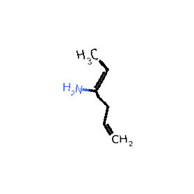 C=CCC(N)=CC